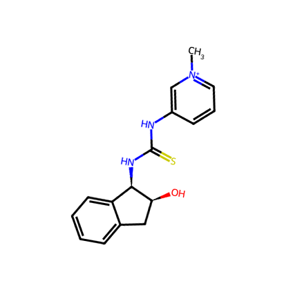 C[n+]1cccc(NC(=S)N[C@@H]2c3ccccc3C[C@@H]2O)c1